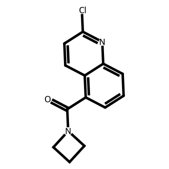 O=C(c1cccc2nc(Cl)ccc12)N1CCC1